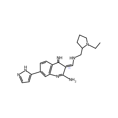 CCN1CCCC1CN/C=C1\C(=N)c2ccc(-c3ccn[nH]3)cc2N=C1N